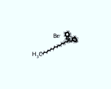 CCCCCCCCCCCCCCCC[N+](C)(Cc1ccccc1)Cc1ccccc1.[Br-]